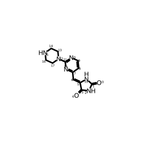 O=C1NC(=O)/C(=C/c2ccnc(N3CCNCC3)n2)N1